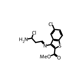 COC(=O)c1sc2ccc(Cl)cc2c1N=CCC(N)Cl